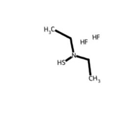 CCN(S)CC.F.F